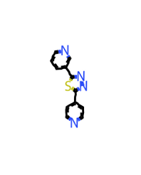 c1cncc(-c2nnc(-c3ccncc3)s2)c1